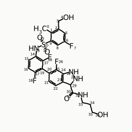 Cc1c(CO)cc(F)cc1S(=O)(=O)Nc1ccc(F)c(-c2ccc3c(c2F)NNC3C(=O)NCCCO)c1F